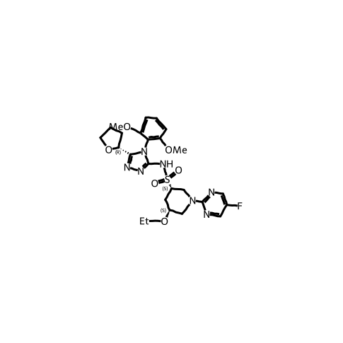 CCO[C@H]1C[C@H](S(=O)(=O)Nc2nnc([C@H]3CCCO3)n2-c2c(OC)cccc2OC)CN(c2ncc(F)cn2)C1